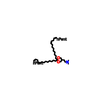 CCCCC/C=C\C/C=C\CCCCCCCCC1(CCCCCCCC/C=C\C/C=C\CCCCC)OCC(CCN(C)C)CO1